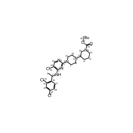 CC(Nc1nc(N2CCN(C3CCCN(C(=O)OC(C)(C)C)C3)CC2)ncc1Cl)c1ccc(Cl)cc1Cl